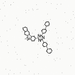 C[Si]1(C)c2ccc(-c3nc(-c4ccc(-c5ccccc5)cc4)nc(-c4ccc(-c5ccccc5)cc4)n3)cc2-c2cc3ccccc3cc21